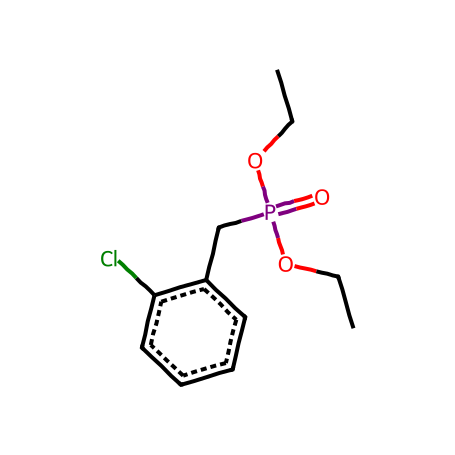 CCOP(=O)(Cc1ccccc1Cl)OCC